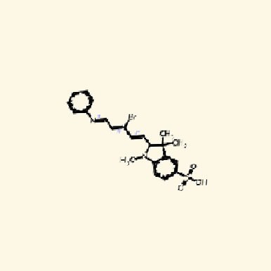 CN1c2ccc(S(=O)(=O)O)cc2C(C)(C)C1/C=C/C(Br)=C/C=N/c1ccccc1